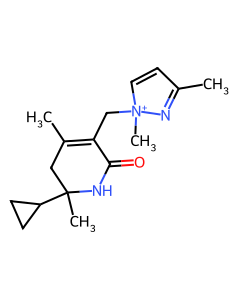 CC1=N[N+](C)(CC2=C(C)CC(C)(C3CC3)NC2=O)C=C1